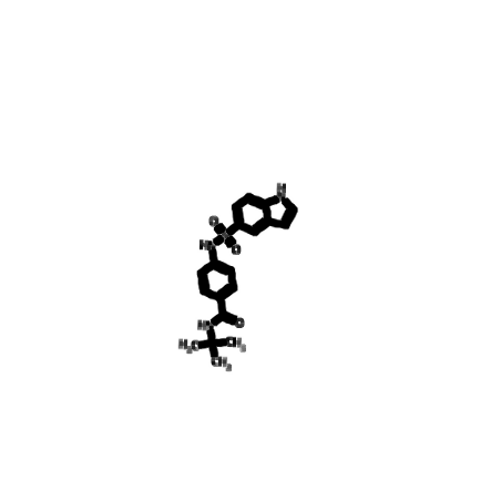 CC(C)(C)NC(=O)c1ccc(NS(=O)(=O)c2ccc3[nH]ccc3c2)cc1